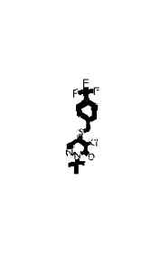 CC(C)(C)n1ncc(SCc2ccc(C(F)(F)F)cc2)c(Cl)c1=O